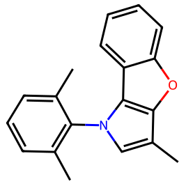 Cc1cccc(C)c1-n1cc(C)c2oc3ccccc3c21